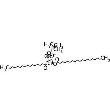 CCCCCCCCCCCCCCCCCCC(=O)O[C@H](COC(=O)CCCCCCCCCCCCCCC)COP(=O)([O-])OCC[N+](C)(C)C